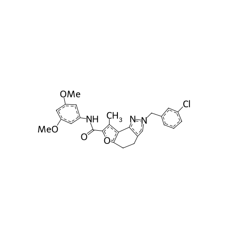 COc1cc(NC(=O)c2oc3c(c2C)-c2nn(Cc4cccc(Cl)c4)cc2CC3)cc(OC)c1